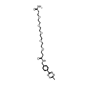 Cc1nnc(-c2ccc(CNC(=O)CCOCCOCCOCCOCCOCCC(N)=O)cc2)nn1